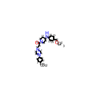 CC(C)(C)c1ccc(N2CCN(CCC(=O)N3CCC(Nc4ccc(COC(F)(F)F)cc4)CC3)CC2)cc1